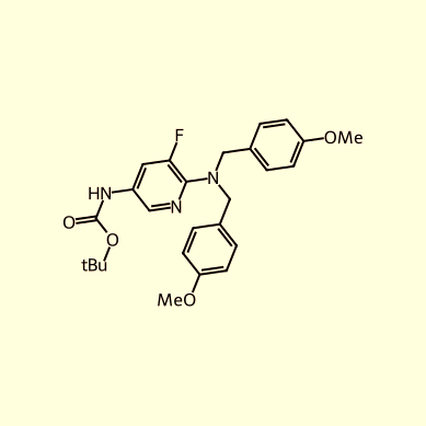 COc1ccc(CN(Cc2ccc(OC)cc2)c2ncc(NC(=O)OC(C)(C)C)cc2F)cc1